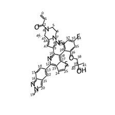 C=CC(=O)N1CCn2nc(-c3nc(-c4ccc5nn(C)cc5c4)c4ccsc4c3-c3c(F)cc(F)cc3OCC(C)(C)O)cc2[C@@H]1C